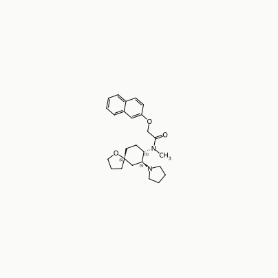 CN(C(=O)COc1ccc2ccccc2c1)[C@H]1CC[C@]2(CCCO2)C[C@@H]1N1CCCC1